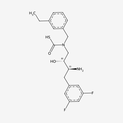 CCc1cccc(CN(C[C@@H](O)[C@@H](N)Cc2cc(F)cc(F)c2)C(=O)S)c1